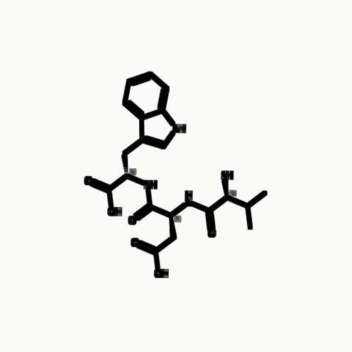 CC(C)[C@H](S)C(=O)N[C@@H](CC(=O)O)C(=O)N[C@@H](Cc1c[nH]c2ccccc12)C(=O)O